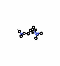 Cc1ccc(-n2c3ccccc3c3cc(-c4cccc(-c5ccc6c(c5)C5(c7ccccc7-6)c6ccccc6N(c6nc(-c7ccccc7)cc(-c7ccccc7)n6)c6ccccc65)c4)ccc32)cc1